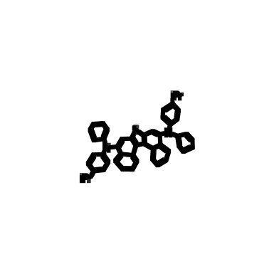 CC(C)c1ccc(N(c2ccccc2)c2cc3sc4cc(N(c5ccccc5)c5ccc(C(C)C)cc5)c5ccccc5c4c3c3ccccc23)cc1